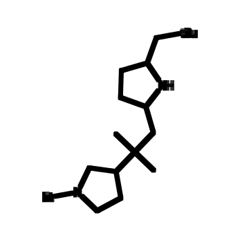 CCN1CCC(C(C)(C)CC2CCC(CC(C)(C)C)N2)C1